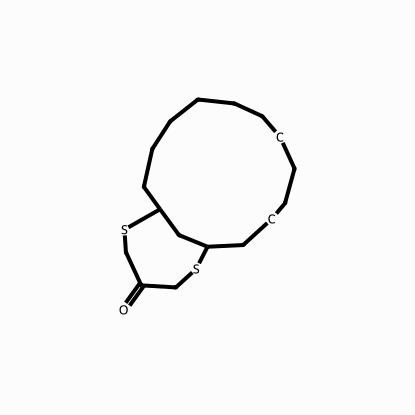 O=C1CSC2CCCCCCCCCCCC(C2)SC1